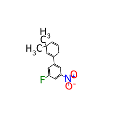 CC1(C)C=CCC(c2cc(F)cc([N+](=O)[O-])c2)=C1